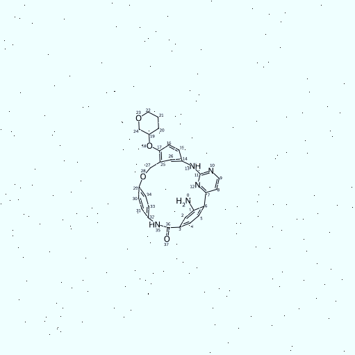 Nc1cc2ccc1-c1ccnc(n1)Nc1ccc(OC3CCCOC3)c(c1)COc1ccc(cc1)NC2=O